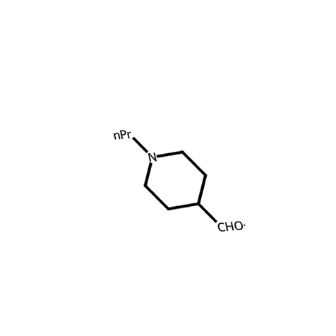 CCCN1CCC([C]=O)CC1